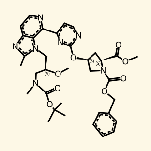 COC(=O)[C@@H]1C[C@H](Oc2nccc(-c3nccc4nc(C)n(C[C@H](CN(C)C(=O)OC(C)(C)C)OC)c34)n2)CN1C(=O)OCc1ccccc1